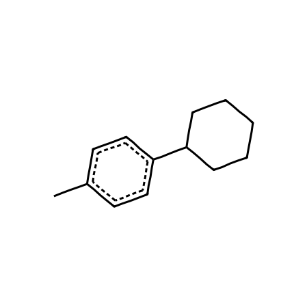 Cc1ccc(C2CCCCC2)cc1